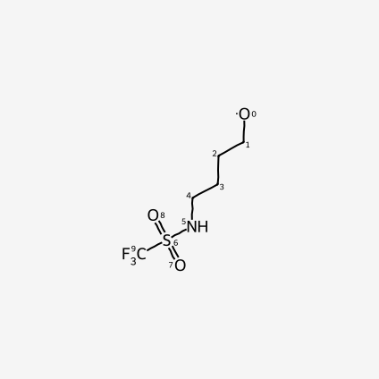 [O]CCCCNS(=O)(=O)C(F)(F)F